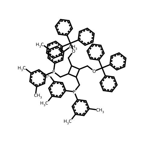 Cc1cc(C)cc(P(CC2C(COC(c3ccccc3)(c3ccccc3)c3ccccc3)C(COC(c3ccccc3)(c3ccccc3)c3ccccc3)C2CP(c2cc(C)cc(C)c2)c2cc(C)cc(C)c2)c2cc(C)cc(C)c2)c1